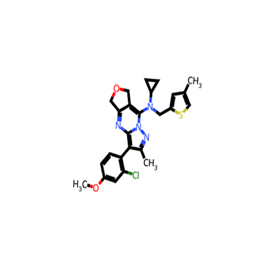 COc1ccc(-c2c(C)nn3c(N(Cc4cc(C)cs4)C4CC4)c4c(nc23)COC4)c(Cl)c1